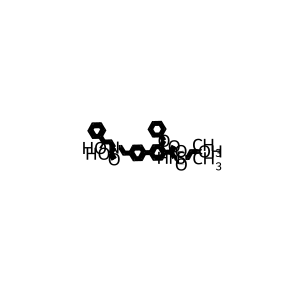 CC(C)(O)CCS(=O)(=O)NC(=O)c1ccc(-c2ccc(CCN(C[C@@H](O)c3ccccc3)C(=O)O)cc2)cc1OC1CCCCC1